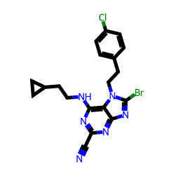 N#Cc1nc(NCCC2CC2)c2c(n1)nc(Br)n2CCc1ccc(Cl)cc1